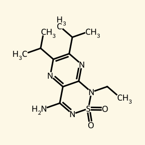 CCN1c2nc(C(C)C)c(C(C)C)nc2C(N)=NS1(=O)=O